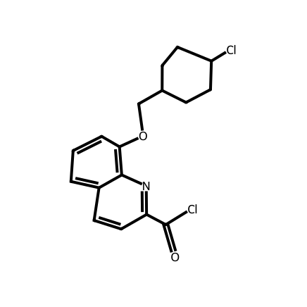 O=C(Cl)c1ccc2cccc(OCC3CCC(Cl)CC3)c2n1